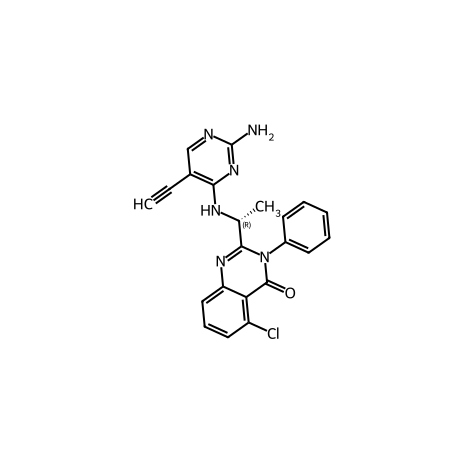 C#Cc1cnc(N)nc1N[C@H](C)c1nc2cccc(Cl)c2c(=O)n1-c1ccccc1